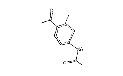 CC(=O)Nc1ccc(C(C)=O)c(C)c1